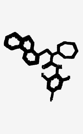 O=C(Nc1c(F)cc(F)cc1F)N(Cc1cccc2c1ccc1ccccc12)C1CCCCCC1